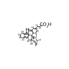 CC(CF)CN1[C@H](c2ccc(/C=C/C(=O)O)cc2F)c2[nH]c3ccccc3c2CC1(C)C